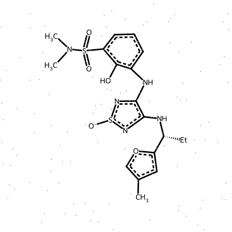 CC[C@@H](Nc1n[s+]([O-])nc1Nc1cccc(S(=O)(=O)N(C)C)c1O)c1cc(C)co1